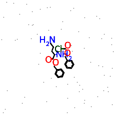 NCCC[C@H](N)C(=O)OCc1ccccc1.O=C(Cl)OCc1ccccc1